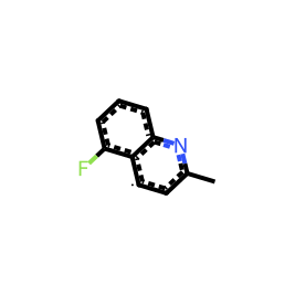 Cc1c[c]c2c(F)cccc2n1